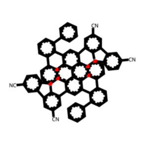 N#Cc1ccc2c(c1)-c1cc(C#N)cc3c1B2c1cc2c(-c4c(-c5ccccc5)cccc4-c4ccccc4)cc4c5c(cc6c(-c7c(-c8ccccc8)cccc7-c7ccccc7)cc-3c1c6c25)B1c2ccc(C#N)cc2-c2cc(C#N)cc-4c21